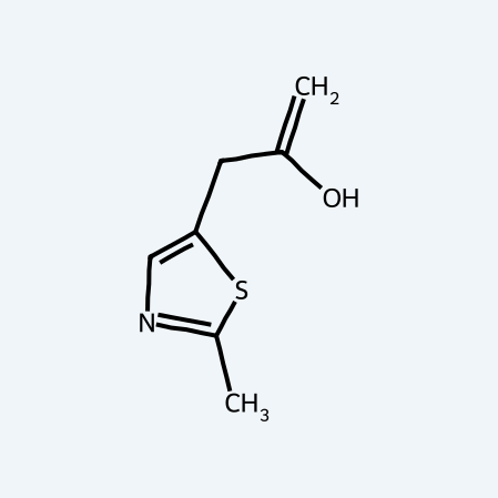 C=C(O)Cc1cnc(C)s1